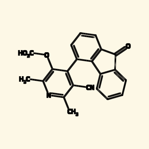 Cc1nc(C)c(OC(=O)O)c(-c2cccc3c2-c2ccccc2C3=O)c1C#N